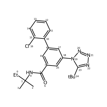 CCC(C)(C)NC(=O)c1cc(-c2ccccc2Cl)cc(-n2nnnc2C(C)(C)C)c1